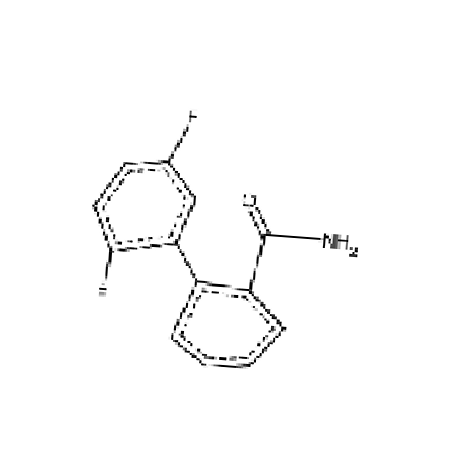 NC(=O)c1ccccc1-c1cc(F)ccc1F